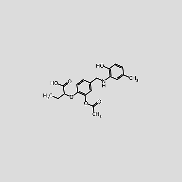 CCC(Oc1ccc(CNc2cc(C)ccc2O)cc1OC(C)=O)C(=O)O